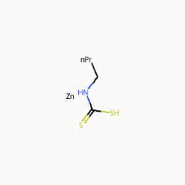 CCCCNC(=S)S.[Zn]